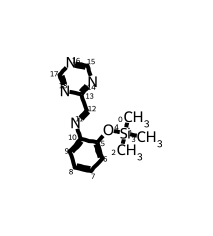 C[Si](C)(C)Oc1ccccc1N=Cc1ncncn1